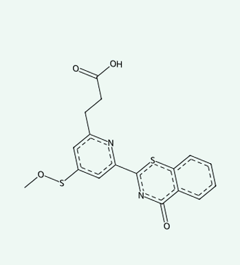 COSc1cc(CCC(=O)O)nc(-c2nc(=O)c3ccccc3s2)c1